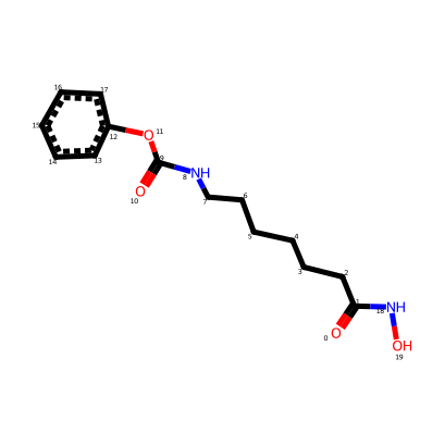 O=C(CCCCCCNC(=O)Oc1ccccc1)NO